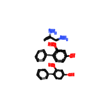 C=C(N)CN.Oc1ccc(-c2ccccc2)c(O)c1.Oc1ccc(-c2ccccc2)c(O)c1